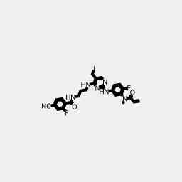 C=CC(=O)N(C)c1cc(Nc2ncc(CI)c(NCCCNC(=O)c3ccc(C#N)cc3F)n2)ccc1F